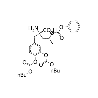 CCCCOC(=O)Oc1ccc(C[C@](N)(C[C@H](C)OC(=O)Oc2ccccc2)C(=O)O)cc1OC(=O)OCCCC